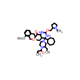 C=CC(=O)N1CCN(C2(C3CCCCCC3)NC(OCC3CCCN3C)NC3C(=O)[C@]4(CCC32)Cc2cccc(OC)c2CO4)CC1CC#N